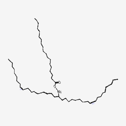 CCCCCCCC/C=C\CCCCCCCCC(CCCCCCCC/C=C\CCCCCCCC)NOC(=O)CCCCCCCCCCCCCCCCC